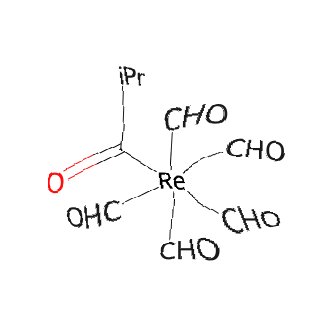 CC(C)[C](=O)[Re]([CH]=O)([CH]=O)([CH]=O)([CH]=O)[CH]=O